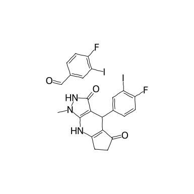 Cn1[nH]c(=O)c2c1NC1=C(C(=O)CC1)C2c1ccc(F)c(I)c1.O=Cc1ccc(F)c(I)c1